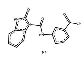 O=C(O)c1cccc(NC(=O)n2c(=O)[nH]c3ccccc32)c1.[Na]